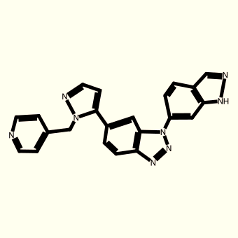 c1cc(Cn2nccc2-c2ccc3nnn(-c4ccc5cn[nH]c5c4)c3c2)ccn1